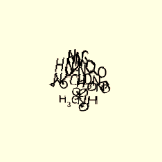 Cc1ccc(C(=O)N(C(=O)OCOC(=O)C(C)NC=O)c2ccon2)cc1Nc1ncnn2cc(C(=O)NC3CC3)c(C)c12